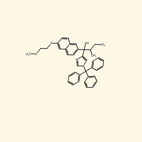 CCC(C)C(O)(c1ccc2cc(OCCOC)ccc2c1)c1cn(C(c2ccccc2)(c2ccccc2)c2ccccc2)cn1